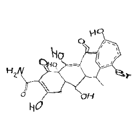 CC1c2c(Br)ccc(O)c2C(=O)C2=C(O)[C@]3(O)C(=O)C(C(N)=O)=C(O)CC3C(O)C21